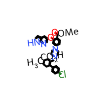 COC(=O)c1ccc(N2CCN(CC3=C(c4ccc(Cl)cc4)CCC(C)(C(=O)O)C3)CC2)cc1Oc1cnc2[nH]ccc2c1